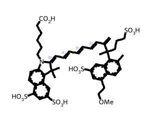 C=C(/C=C/C=C/C=C/C=C1/N(CCCCCC(=O)O)c2ccc3c(S(=O)(=O)O)cc(S(=O)(=O)O)cc3c2C1(C)C)C(C)(CCCS(=O)(=O)O)c1c(C)ccc2c(CCOC)cc(S(=O)(=O)O)cc12